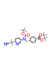 CC(C)(C)OC(=O)N(Cc1ccc(B2OC(C)(C)C(C)(C)O2)cc1)c1ccc(C(C)(C)C#N)nc1